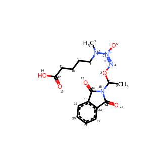 CC(O/N=[N+](/[O-])N(C)CCCCC(=O)O)N1C(=O)c2ccccc2C1=O